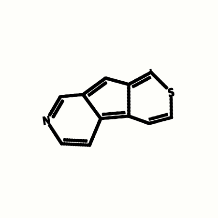 [c]1sccc2c3ccncc3cc1-2